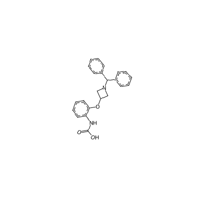 O=C(O)Nc1ccccc1OC1CN(C(c2ccccc2)c2ccccc2)C1